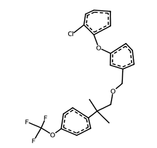 CC(C)(COCc1cccc(Oc2ccccc2Cl)c1)c1ccc(OC(F)(F)F)cc1